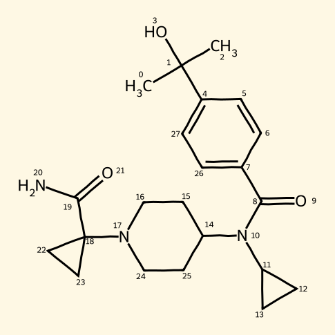 CC(C)(O)c1ccc(C(=O)N(C2CC2)C2CCN(C3(C(N)=O)CC3)CC2)cc1